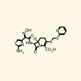 Nc1nc(/C(=N/O)C(=O)N[C@@H]2C(=O)N3C(C(=O)O)=C(SCSc4ccccn4)CC[C@@H]23)cs1